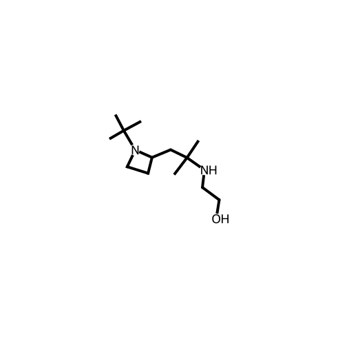 CC(C)(CC1CCN1C(C)(C)C)NCCO